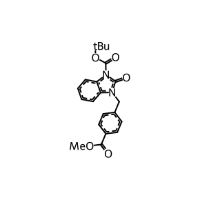 COC(=O)c1ccc(Cn2c(=O)n(C(=O)OC(C)(C)C)c3ccccc32)cc1